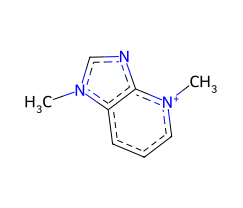 Cn1cnc2c1ccc[n+]2C